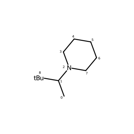 CC(N1CCCCC1)C(C)(C)C